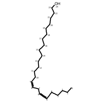 CCCCC/C=C\C/C=C\CCCCCCCCCCCCCCO